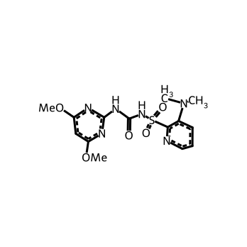 COc1cc(OC)nc(NC(=O)NS(=O)(=O)c2ncccc2N(C)C)n1